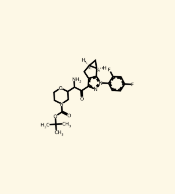 CC(C)(C)OC(=O)N1CCOC(C(N)C(=O)c2nn(-c3ccc(F)cc3F)c3c2C[C@H]2C[C@@H]32)C1